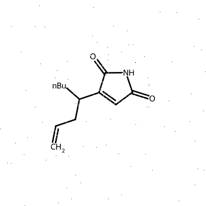 C=CCC(CCCC)C1=CC(=O)NC1=O